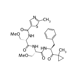 COC[C@H](NC(=O)c1cnc(C)s1)C(=O)N[C@@H](COC)C(=O)N[C@@H](Cc1ccccc1)C(=O)C1(C)CC1